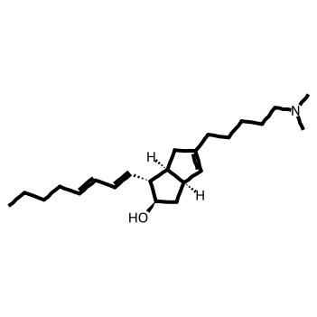 CCCC/C=C/C=C/[C@@H]1[C@H]2CC(CCCCCN(C)C)=C[C@H]2C[C@H]1O